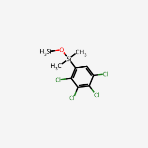 C[Si](C)(O[SiH3])c1cc(Cl)c(Cl)c(Cl)c1Cl